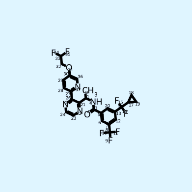 CC(NC(=O)c1cc(C(F)(F)F)cc(C(F)(F)C2CC2)c1)c1nccnc1-c1ccc(OCC(F)F)cn1